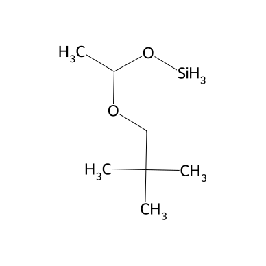 CC(O[SiH3])OCC(C)(C)C